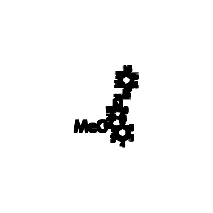 COC1c2ccccc2C2CN(CCc3ccccc3)CC21